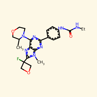 CCNC(=O)Nc1ccc(-c2nc(N3CCOCC3C)c3nc(C4(F)COC4)n(C)c3n2)cc1